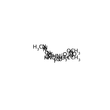 Cc1cn(-c2ccc(S(=O)(=O)Nc3cc(F)c(C(=O)N[C@@H](Cc4ccc(-c5c(C)n(C)c(=O)n(C)c5=O)cc4)C(=O)O)cc3F)nc2)nn1